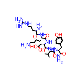 CC(C)[C@H](NC(=O)[C@H](CC(=O)O)NC(=O)[C@H](CCCCN)NC(=O)[C@@H](N)CCCNC(=N)N)C(=O)N[C@@H](Cc1ccc(O)cc1)C(N)=O